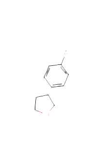 C1CCOC1.CC(=O)c1ccccc1